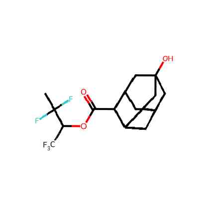 CC(F)(F)C(OC(=O)C1C2CC3CC1CC(O)(C3)C2)C(F)(F)F